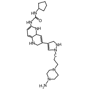 NN1CCN(CCCN2C=C(C3=CC4NC(NC(=O)NC5CCCC5)=CC=C4NC3)CN2)CC1